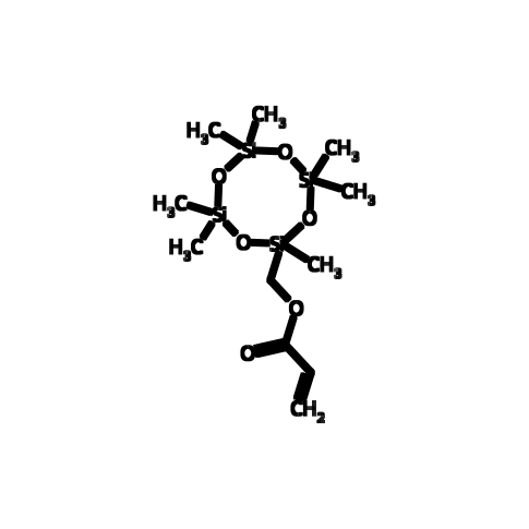 C=CC(=O)OC[Si]1(C)O[Si](C)(C)O[Si](C)(C)O[Si](C)(C)O1